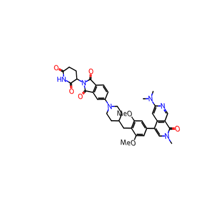 COc1cc(-c2cn(C)c(=O)c3cnc(N(C)C)cc23)cc(OC)c1CC1CCN(c2ccc3c(c2)C(=O)N(C2CCC(=O)NC2=O)C3=O)CC1